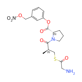 C[C@H](CSC(=O)CN)C(=O)N1CCC[C@H]1C(=O)Oc1cccc(CO[N+](=O)[O-])c1